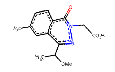 COC(C)c1nn(CC(=O)O)c(=O)c2ccc(C)cc12